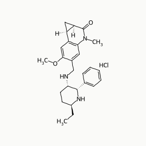 CC[C@H]1CC[C@H](NCc2cc3c(cc2OC)[C@H]2C[C@H]2C(=O)N3C)[C@H](c2ccccc2)N1.Cl